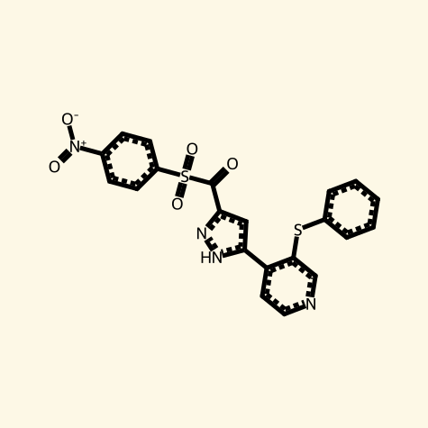 O=C(c1cc(-c2ccncc2Sc2ccccc2)[nH]n1)S(=O)(=O)c1ccc([N+](=O)[O-])cc1